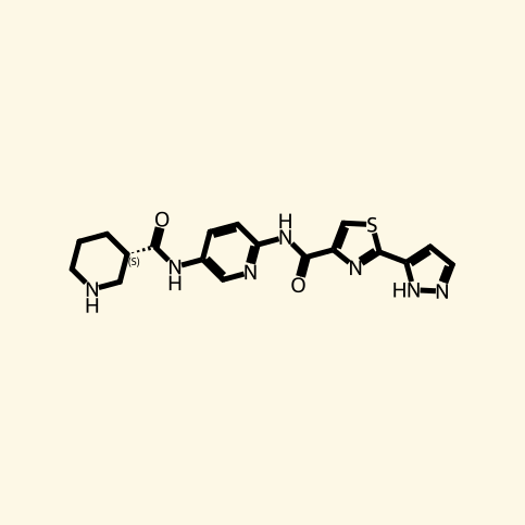 O=C(Nc1ccc(NC(=O)[C@H]2CCCNC2)cn1)c1csc(-c2ccn[nH]2)n1